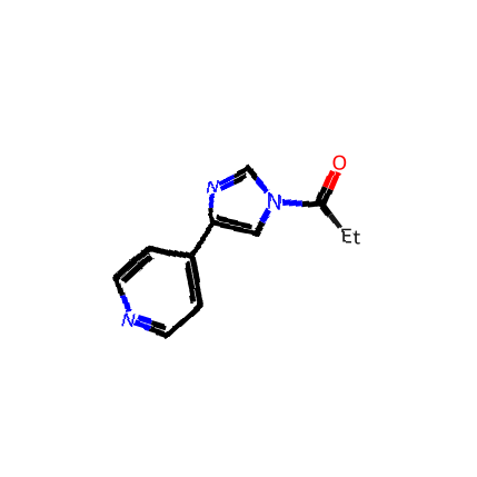 [CH2]CC(=O)n1cnc(-c2ccncc2)c1